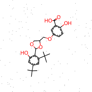 CC(C)(C)c1cc(O)c(C2OCC(COc3ccc(O)c(C(=O)O)c3)O2)c(C(C)(C)C)c1